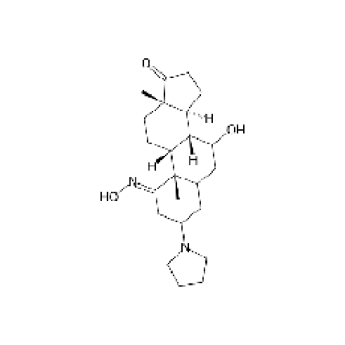 C[C@]12C(=NO)CC(N3CCCC3)CC1CC(O)[C@@H]1[C@H]2CC[C@]2(C)C(=O)CC[C@@H]12